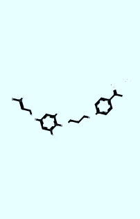 CON=C(C)c1ccc(OCCCOc2c(Cl)cc(OCC=C(Cl)Cl)cc2Cl)cc1